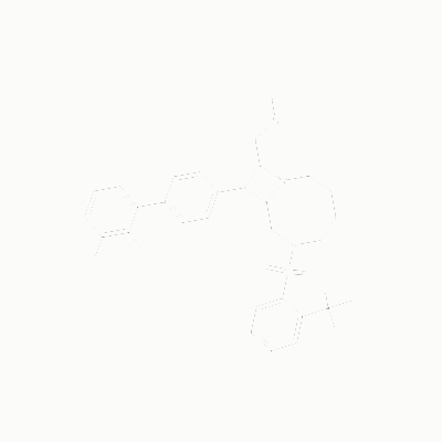 CNCC1C(c2ccc(-c3cccc(C)c3C)cc2)[C@@H]2CN(S(=O)(=O)c3ccccc3C(F)(F)F)CCCCN12